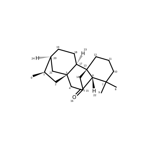 C[C@@H]1C[C@]23CC[C@H]4C(C)(C)CCC[C@@]4(CC=O)[C@@H]2CC[C@H]1C3